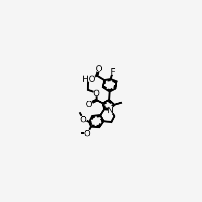 CCOC(=O)c1c(-c2ccc(F)c(C(=O)O)c2)c(C)n2c1-c1cc(OC)c(OC)cc1CC2